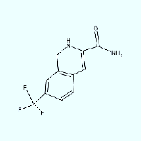 NC(=O)C1=Cc2ccc(C(F)(F)F)cc2CN1